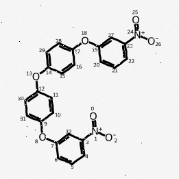 O=[N+]([O-])c1cccc(Oc2ccc(Oc3ccc(Oc4cccc([N+](=O)[O-])c4)cc3)cc2)c1